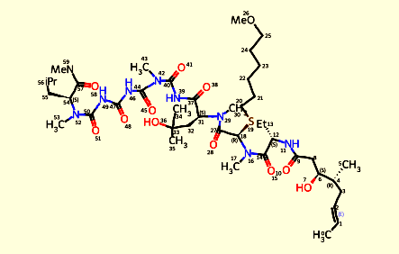 C/C=C/C[C@@H](C)[C@@H](O)CC(=O)N[C@@H](CC)C(=O)N(C)[C@H](SCCCCCCOC)C(=O)N(C)[C@@H](CC(C)(C)O)C(=O)NC(=O)N(C)C(=O)NC(=O)NC(=O)N(C)[C@@H](CC(C)C)C(=O)NC